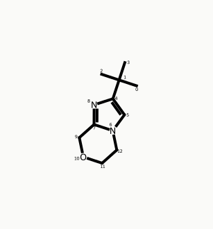 CC(C)(C)c1cn2c(n1)COCC2